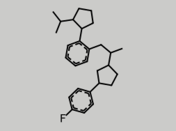 CC(C)C1CCCC1c1ccccc1CC(C)C1CCC(c2ccc(F)cc2)C1